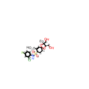 CC[C@]1(CO)OC2(C=C(C(=O)O)[C@H](S(=O)(=O)Nc3ccc(F)cc3Cl)CC2)O[C@@H]1CO